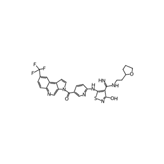 N=C(NCCC1CCCO1)c1c(O)nsc1Nc1ccc(C(=O)n2ccc3c4cc(C(F)(F)F)ccc4ncc32)cn1